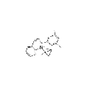 Cc1cc(C)c2c(c1)-c1ccc3ccccc3[n+]1C1(C)CC21C